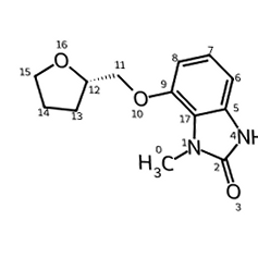 Cn1c(=O)[nH]c2cccc(OC[C@@H]3CCCO3)c21